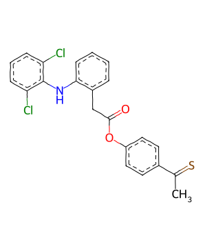 CC(=S)c1ccc(OC(=O)Cc2ccccc2Nc2c(Cl)cccc2Cl)cc1